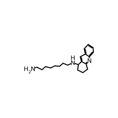 NCCCCCCCCNC1CCCc2nc3ccccc3cc21